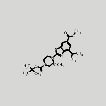 COC(=O)c1cc(C(C)C)c2nc(N3CCN(C(=O)OC(C)(C)C)C[C@H]3C)sc2c1